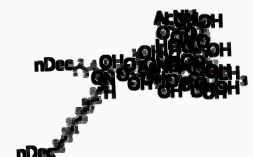 CCCCCCCCCCCCC/C=C/[C@@H](O)[C@H](CO[C@@H]1OC(CO)[C@@H](O[C@@H]2OC(CO)[C@H](O[C@@H]3OC(CO)[C@H](O[C@H]4OC(C)[C@@H](O)C(O)[C@@H]4O)[C@H](O[C@@H]4OC(CO)[C@H](O)[C@H](O[C@]5(C(=O)O)CC(O)[C@@H](NC(C)=O)C([C@H](O)[C@H](O)CO)O5)C4O)C3NC(C)=O)[C@H](O)C2O)[C@H](O)C1O)NC(=O)CCCCCCCCCCCCCCCCCCCCCCC